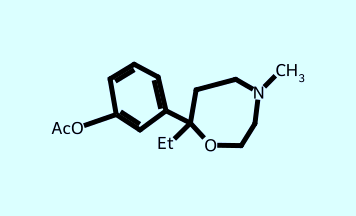 CCC1(c2cccc(OC(C)=O)c2)CCN(C)CCO1